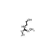 CCOC(=O)NCCO.O